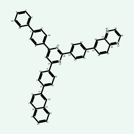 c1ccc(-c2ccc(-c3cc(-c4ccc(-c5ccc6ccccc6c5)cc4)nc(-c4ccc(-c5ccc6nccnc6c5)cc4)n3)cc2)cc1